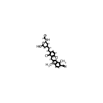 Cc1c(C#N)ccc2c1cc(Cc1c(Cl)ccc(CCC(CCNC=O)CC(=O)O)c1Cl)n2C